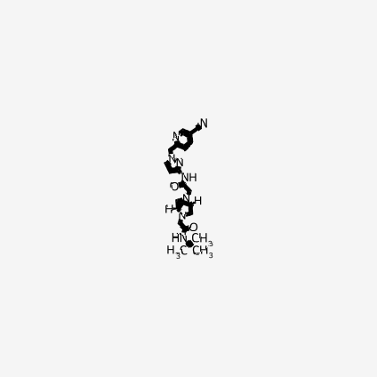 CC(C)(C)NC(=O)CN1C[C@@H]2C[C@H]1CN2CC(=O)Nc1ccn(Cc2ccc(C#N)cn2)n1